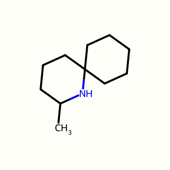 CC1CCCC2(CCCCC2)N1